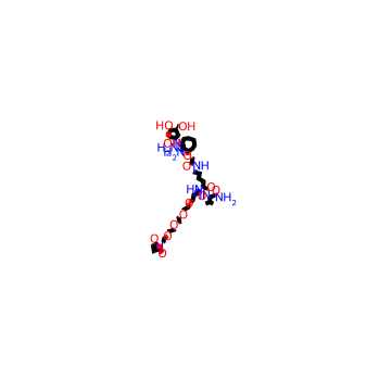 CC(C)C(NC(=O)C(CCCCNC(=O)COC1CCCCC/C(N(N)[C@@H]2C[C@H](CO)[C@H](O)CC2O)=C\1N)NC(=O)CCOCCOCCOCCOCCN1C(=O)C=CC1=O)C(N)=O